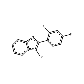 Fc1ccc(-c2nc3ccccn3c2Br)c(F)c1